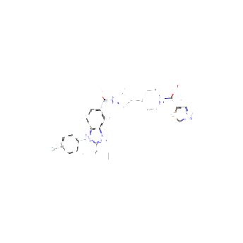 Cc1nc2cc(C(=O)N3CC(C4CCN(C(=O)c5cncs5)CC4)C3)ccc2n1-c1ccc(F)cc1